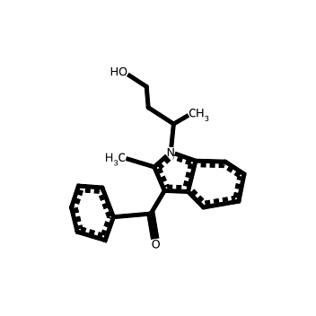 Cc1c(C(=O)c2ccccc2)c2ccccc2n1C(C)CCO